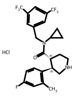 Cc1cc(F)ccc1[C@@H]1CNCC[C@H]1C(=O)N(Cc1cc(C(F)(F)F)cc(C(F)(F)F)c1)C1CC1.Cl